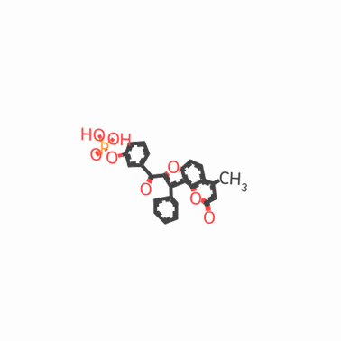 Cc1cc(=O)oc2c1ccc1oc(C(=O)c3cccc(OP(=O)(O)O)c3)c(-c3ccccc3)c12